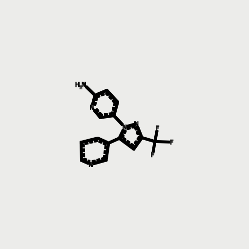 Nc1ccc(-n2nc(C(F)(F)F)cc2-c2cccnc2)cn1